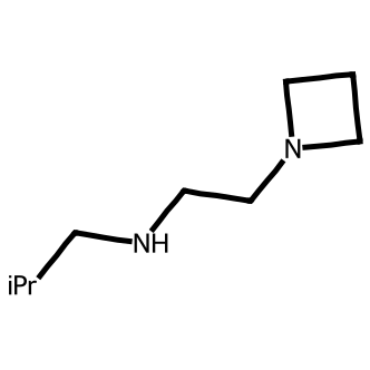 CC(C)CNCCN1CCC1